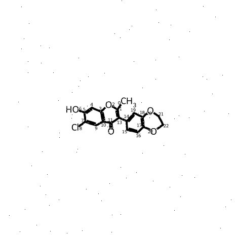 Cc1oc2cc(O)c(Cl)cc2c(=O)c1-c1ccc2c(c1)OCCO2